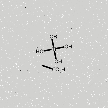 CC(=O)O.[OH][Ti]([OH])([OH])[OH]